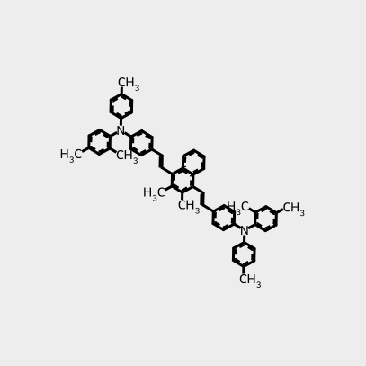 Cc1ccc(N(c2ccc(C=Cc3c(C)c(C)c(C=Cc4ccc(N(c5ccc(C)cc5)c5ccc(C)cc5C)cc4)c4ccccc34)cc2)c2ccc(C)cc2C)cc1